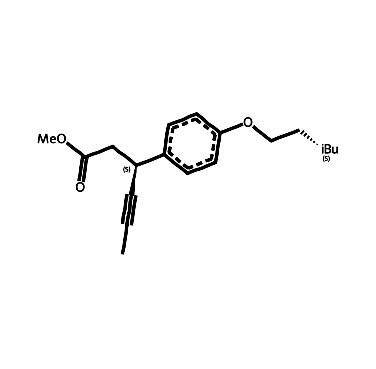 CC#C[C@@H](CC(=O)OC)c1ccc(OCC[C@@H](C)CC)cc1